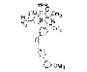 COc1cccc(C2CCN(CCOc3ccc(-c4c(C)nc(C)c(C(OC(C)(C)C)C(=O)O)c4N4CCC(C)(C)CC4)cc3)CC2)c1